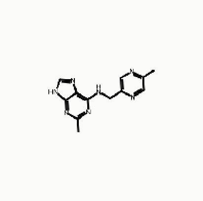 Cc1cnc(CNc2nc(C)nc3[nH]cnc23)cn1